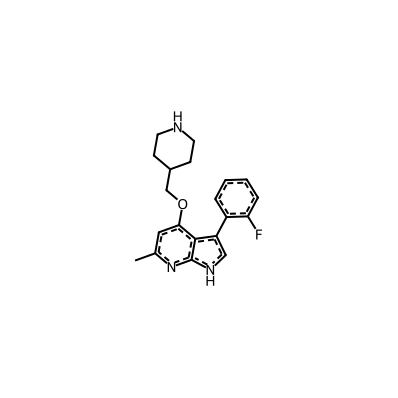 Cc1cc(OCC2CCNCC2)c2c(-c3ccccc3F)c[nH]c2n1